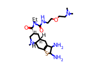 CCN(C(=O)NCCOCCN(C)C)C(=O)[C@@H]1C[C@@H]2CC3=C(C[C@H]2N(C)C1)SC(N)C3N